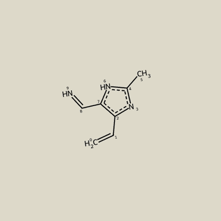 C=Cc1nc(C)[nH]c1C=N